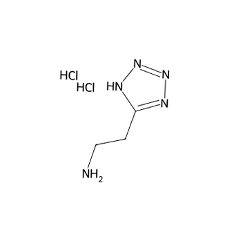 Cl.Cl.NCCc1nnn[nH]1